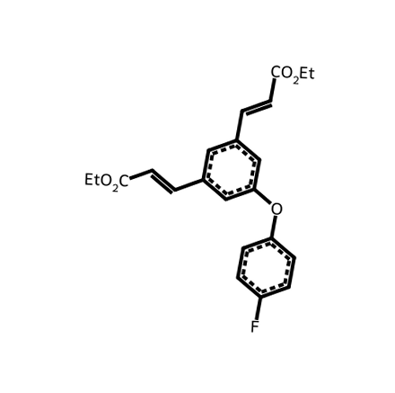 CCOC(=O)C=Cc1cc(C=CC(=O)OCC)cc(Oc2ccc(F)cc2)c1